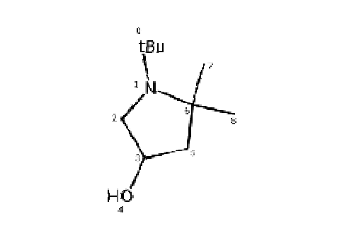 CC(C)(C)N1CC(O)CC1(C)C